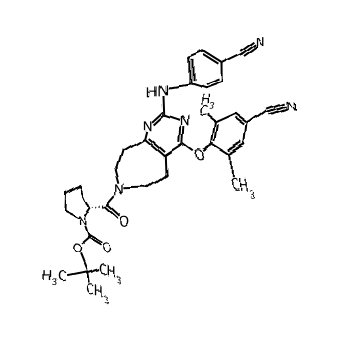 Cc1cc(C#N)cc(C)c1Oc1nc(Nc2ccc(C#N)cc2)nc2c1CCN(C(=O)[C@H]1CCCN1C(=O)OC(C)(C)C)CC2